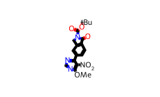 COc1ncnc(-c2ccc3c(c2)CN(C(=O)OC(C)(C)C)C3=O)c1[N+](=O)[O-]